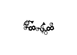 COc1cccc2cc(C(=O)[C@@H]3CN(CC4CC4)C(COc4ccc5cc(C(=O)[C@@H]6CN(CC7CC7)CC[C@@H]6C)ccc5c4)C[C@@H]3C)ccc12